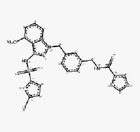 COc1cccc2c1c(NS(=O)(=S)c1ccc(Cl)s1)nn2Cc1cccc(CNC(=O)c2cocn2)c1